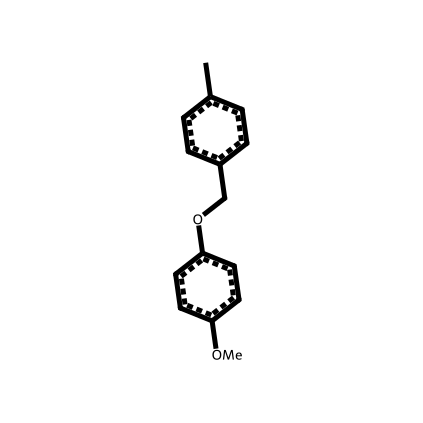 COc1ccc(OCc2ccc(C)cc2)cc1